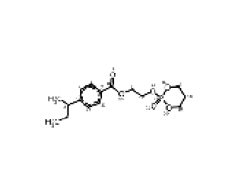 CCC(C)c1ccc(C(=O)OCCOP2(=O)OCCCO2)cc1